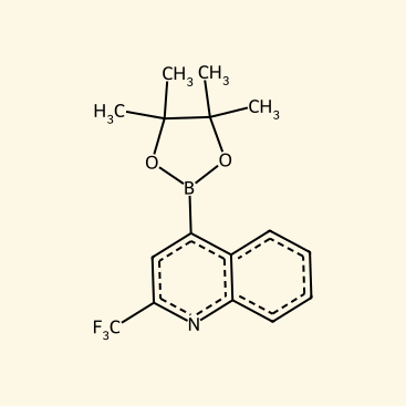 CC1(C)OB(c2cc(C(F)(F)F)nc3ccccc23)OC1(C)C